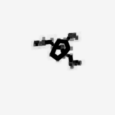 COC[C@@]12CC[C@@](COC)(C[C@H](C)C1)O2